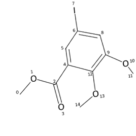 COC(=O)c1cc(I)cc(OC)c1OC